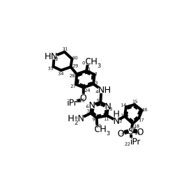 Cc1cc(Nc2nc(N)c(C)c(Nc3ccccc3S(=O)(=O)C(C)C)n2)c(OC(C)C)cc1C1CCNCC1